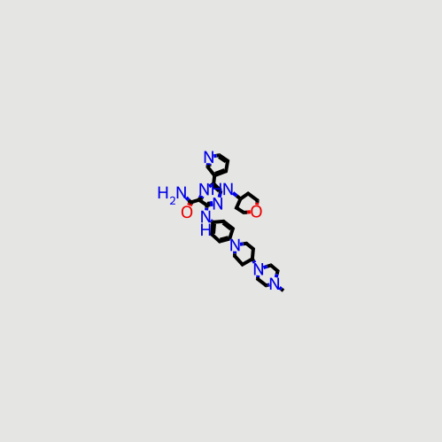 CN1CCN(C2CCN(c3ccc(Nc4nc(NC5CCOCC5)c(-c5cccnc5)nc4C(N)=O)cc3)CC2)CC1